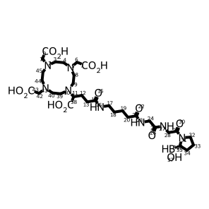 O=C(O)CN1CCN(CC(=O)O)CCN(C(CCC(=O)NCCCCC(=O)NCC(=O)NCC(=O)N2CCC[C@H]2BO)C(=O)O)CCN(CC(=O)O)CC1